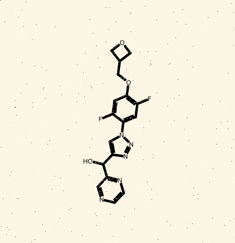 OC(c1cnccn1)c1cn(-c2cc(F)c(OCC3COC3)cc2F)nn1